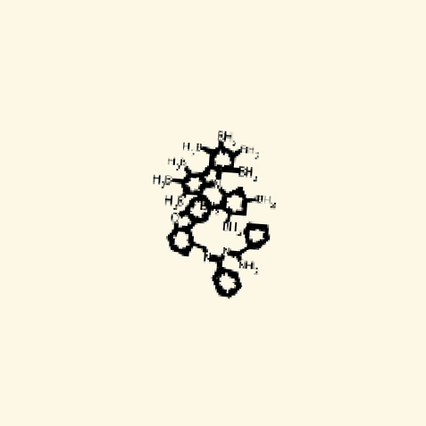 Bc1cc(B)c(-c2ccc3oc4cccc(C/N=C(\N=C(/N)c5ccccc5)c5ccccc5)c4c3c2)c(-n2c3c(B)c(B)c(B)c(B)c3c3c(B)c(B)c(B)c(B)c32)c1